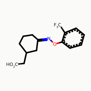 O=C(O)CC1CCCC(=NOc2ccccc2C(F)(F)F)C1